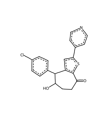 O=C1CCC(O)C(c2ccc(Cl)cc2)c2cc(-c3ccncc3)sc21